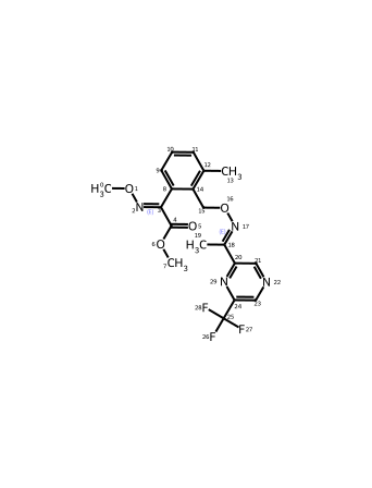 CO/N=C(/C(=O)OC)c1cccc(C)c1CO/N=C(\C)c1cncc(C(F)(F)F)n1